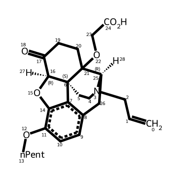 C=CCN1CC[C@]23c4c5ccc(OCCCCC)c4O[C@H]2C(=O)CCC3(OCC(=O)O)[C@H]1C5